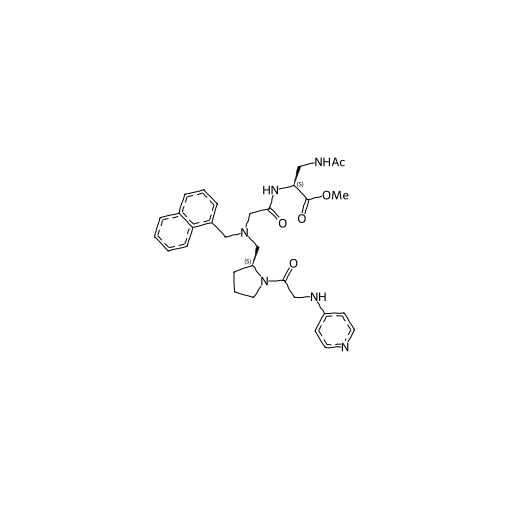 COC(=O)[C@H](CNC(C)=O)NC(=O)CN(Cc1cccc2ccccc12)C[C@@H]1CCCN1C(=O)CNc1ccncc1